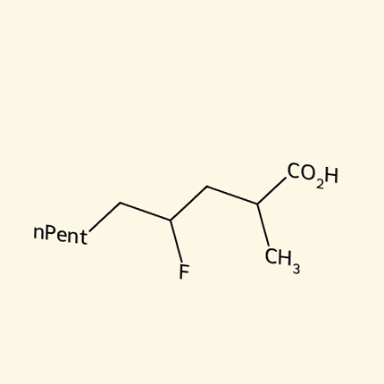 CCCCCCC(F)CC(C)C(=O)O